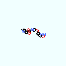 Cc1ccc2c3c(ccc2n1)OC[C@H](CN1CCC(Oc2ccc4c(c2)NC(=O)CC4)CC1)O3